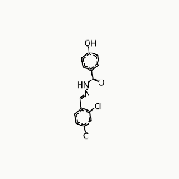 O=C(N/N=C/c1ccc(Cl)cc1Cl)c1ccc(O)cc1